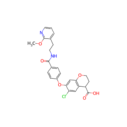 COc1ncccc1CCNC(=O)c1ccc(Oc2cc3c(cc2Cl)C(C(=O)O)CCO3)cc1